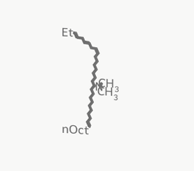 CCC=CCC=CC/C=C\CCCCCCCC(CCCCCCCCC=CCCCCCCCC)N(C)C